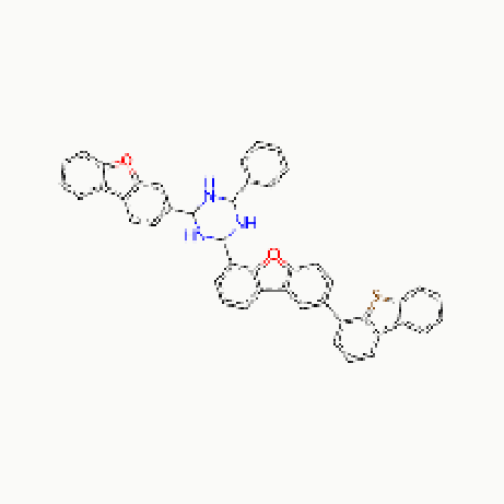 c1ccc(C2NC(c3ccc4c(c3)oc3ccccc34)NC(c3cccc4c3oc3ccc(-c5cccc6c5sc5ccccc56)cc34)N2)cc1